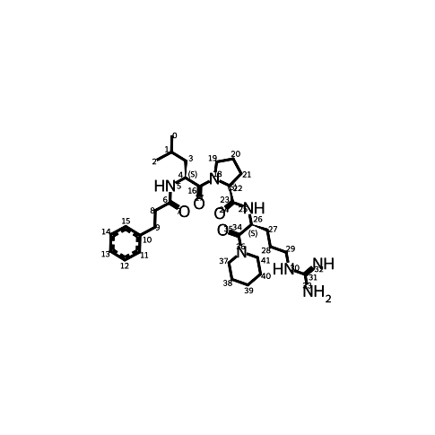 CC(C)C[C@H](NC(=O)CCc1ccccc1)C(=O)N1CCC[C@H]1C(=O)N[C@@H](CCCNC(=N)N)C(=O)N1CCCCC1